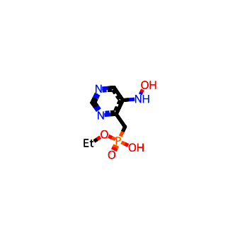 CCOP(=O)(O)Cc1ncncc1NO